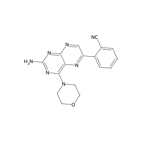 N#Cc1ccccc1-c1cnc2nc(N)nc(N3CCOCC3)c2n1